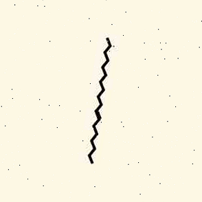 C[CH]CCCCCCCCC=CCCCCCC